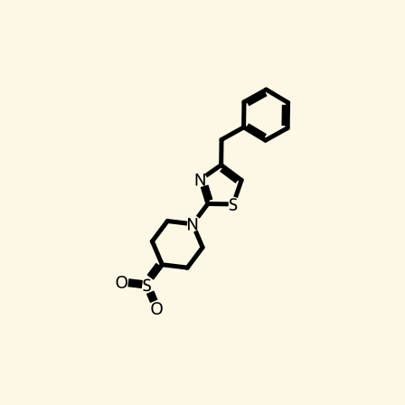 O=S(=O)=C1CCN(c2nc(Cc3ccccc3)cs2)CC1